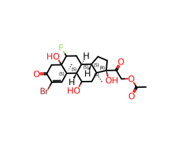 CC(=O)OCC(=O)[C@@]1(O)CC[C@H]2[C@@H]3CC(F)C4(O)CC(=O)C(Br)=C[C@]4(C)[C@H]3C(O)C[C@@]21C